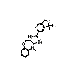 CCC1(C)OCc2cnc(C(=O)N[C@H]3COc4ccccc4N(C)C3O)cc21